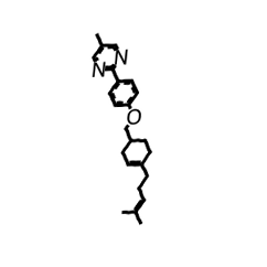 CC(C)=CCCC1=CCC(COc2ccc(-c3ncc(C)cn3)cc2)CC1